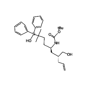 C=CC[C@@H](CO)C[C@@H](CCC(C)(C)[Si](O)(c1ccccc1)c1ccccc1)NC(=O)OC(C)(C)C